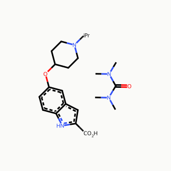 CC(C)N1CCC(Oc2ccc3[nH]c(C(=O)O)cc3c2)CC1.CN(C)C(=O)N(C)C